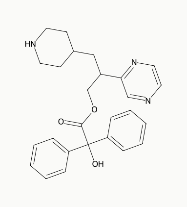 O=C(OCC(CC1CCNCC1)c1cnccn1)C(O)(c1ccccc1)c1ccccc1